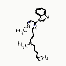 C=CCCCN(C)CCC/N=C(\C=C/N=C)n1cnc2ccccc21